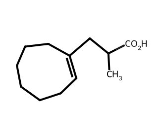 CC(CC1=CCCCCCC1)C(=O)O